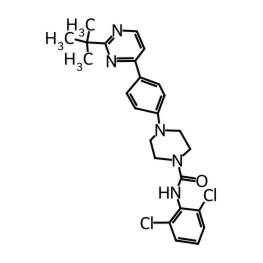 CC(C)(C)c1nccc(-c2ccc(N3CCN(C(=O)Nc4c(Cl)cccc4Cl)CC3)cc2)n1